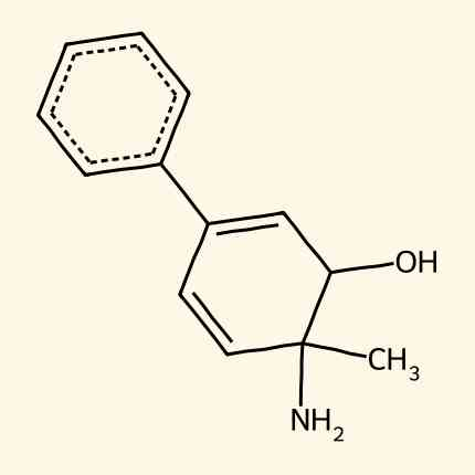 CC1(N)C=CC(c2ccccc2)=CC1O